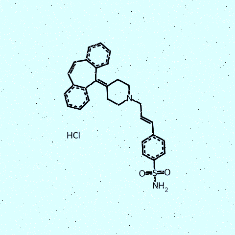 Cl.NS(=O)(=O)c1ccc(C=CCN2CCC(=C3c4ccccc4C=Cc4ccccc43)CC2)cc1